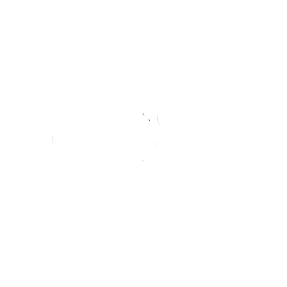 Cc1ccc(O)c(NC(=O)CCc2ccccc2)c1